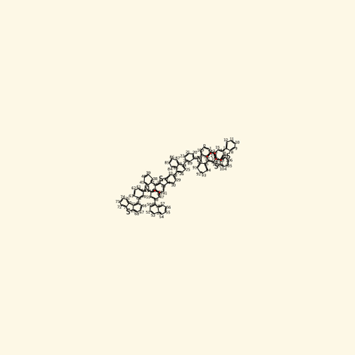 c1cc(-c2ccc3sc4ccccc4c3c2)cc(N(c2cccc(-c3ccc(-c4ccc5c(c4)sc4c(-c6ccccc6N(c6cccc(-c7cccc8ccccc78)c6)c6cccc(-c7cccc8sc9ccccc9c78)c6)cccc45)c4ccccc34)c2)c2ccccc2-c2cccc3c2sc2ccccc23)c1